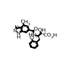 Cc1cc(C(=O)N[C@H](Cc2ccccc2Cl)[C@H](O)C(=O)O)cc2[nH]nnc12